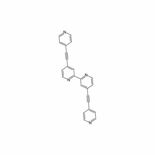 C(#Cc1ccnc(-c2cc(C#Cc3ccncc3)ccn2)c1)c1ccncc1